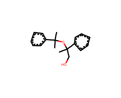 CC(C)(OC(C)(CO)c1ccccc1)c1ccccc1